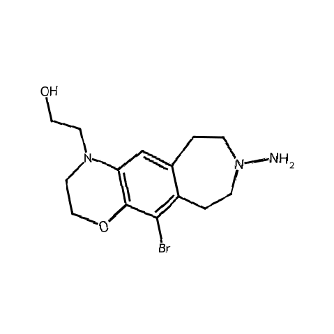 NN1CCc2cc3c(c(Br)c2CC1)OCCN3CCO